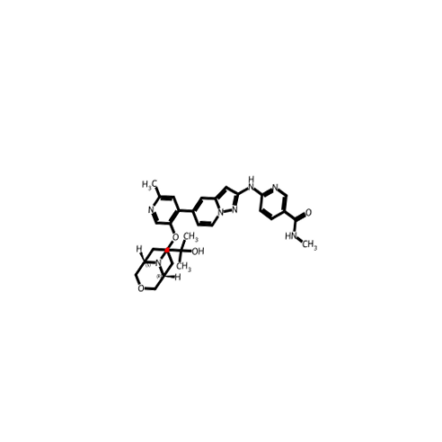 CNC(=O)c1ccc(Nc2cc3cc(-c4cc(C)ncc4OC4C[C@H]5COC[C@@H](C4)N5CC(C)(C)O)ccn3n2)nc1